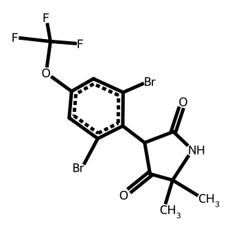 CC1(C)NC(=O)C(c2c(Br)cc(OC(F)(F)F)cc2Br)C1=O